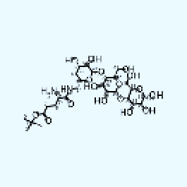 CC(C)(C)OC(=O)CC[C@H](N)C(=O)NC[C@@H]1C[C@H](O)[C@@H](O)[C@@H](O[C@H]2[C@H](O)[C@@H](O)[C@@H](O[C@H]3[C@H](O)[C@@H](O)[C@@H](O)O[C@@H]3CO)O[C@@H]2CO)O1